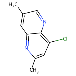 Cc1cnc2c(Cl)cc(C)nc2c1